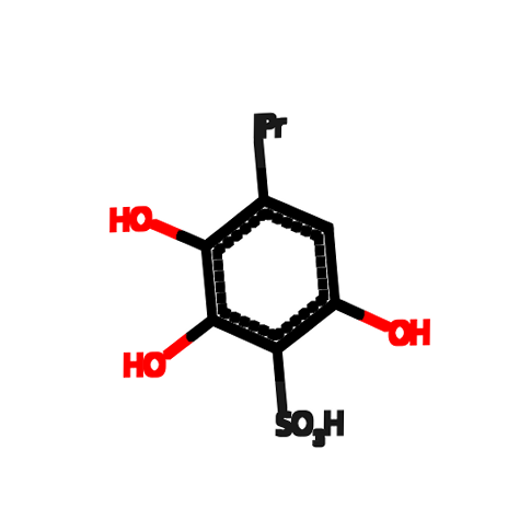 CC(C)c1cc(O)c(S(=O)(=O)O)c(O)c1O